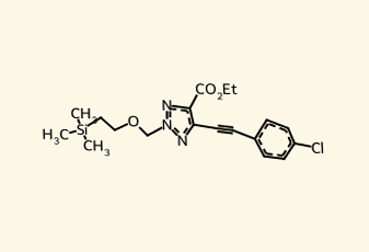 CCOC(=O)c1nn(COCC[Si](C)(C)C)nc1C#Cc1ccc(Cl)cc1